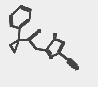 N#Cc1c[nH]c(CC(=O)C2(c3ccccc3)CC2)n1